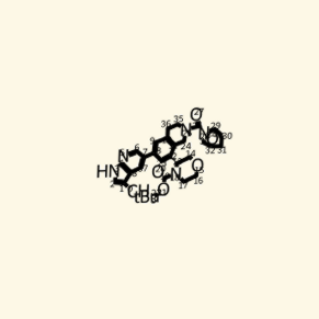 Cc1c[nH]c2ncc(-c3cc4c(c([C@@H]5COCCN5C(=O)OC(C)(C)C)c3)CN(C(=O)N3CC5CC(C3)O5)CC4)cc12